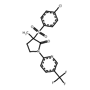 CC1(S(=O)(=O)c2ccc(Cl)cc2)CCN(c2ccc(C(F)(F)F)cn2)C1=O